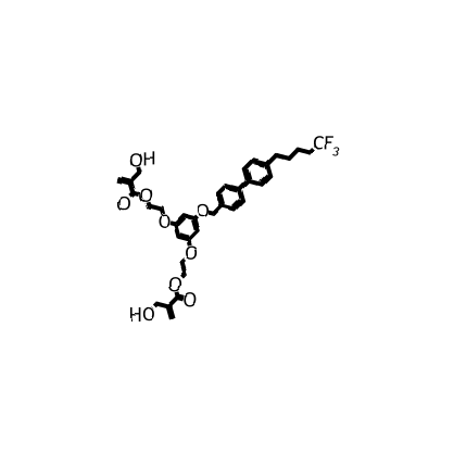 C=C(CO)C(=O)OCCOc1cc(OCCOC(=O)C(=C)CO)cc(OCc2ccc(-c3ccc(CCCCC(F)(F)F)cc3)cc2)c1